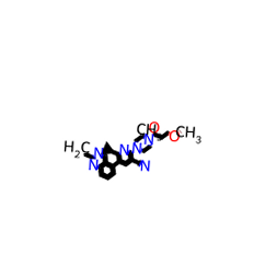 C=Cc1ncc2c(-c3cc(C#N)c(N4CCN(C(=O)CCOC)C(C)C4)nc3C3CC3)cccc2n1